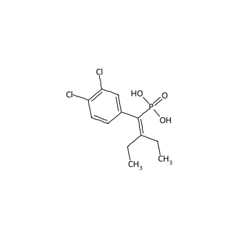 CCC(CC)=C(c1ccc(Cl)c(Cl)c1)P(=O)(O)O